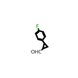 O=[C]C1CC1c1ccc(F)cc1